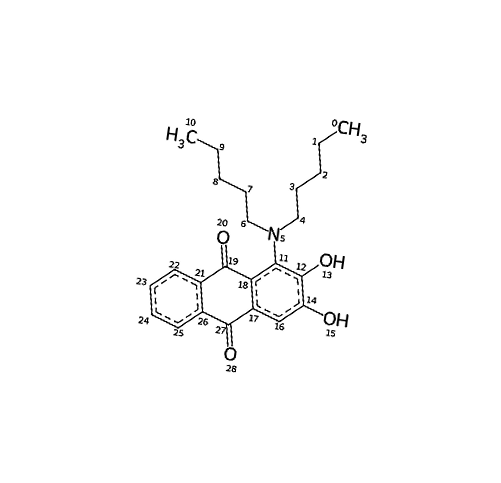 CCCCCN(CCCCC)c1c(O)c(O)cc2c1C(=O)c1ccccc1C2=O